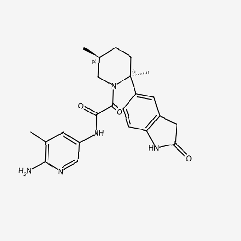 Cc1cc(NC(=O)C(=O)N2C[C@@H](C)CC[C@@]2(C)c2ccc3c(c2)CC(=O)N3)cnc1N